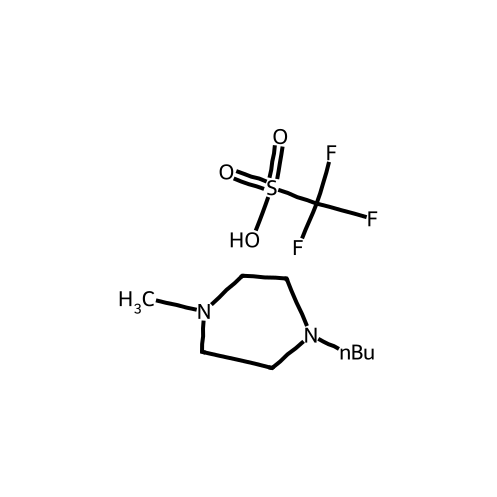 CCCCN1CCN(C)CC1.O=S(=O)(O)C(F)(F)F